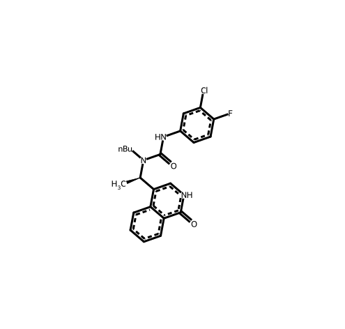 CCCCN(C(=O)Nc1ccc(F)c(Cl)c1)[C@H](C)c1c[nH]c(=O)c2ccccc12